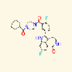 O=C1NCCc2c(-c3ccc(F)c(C(=O)N4CCN(C(=O)C5CCCCC5)CC4)c3)[nH]c3cc(F)cc1c23